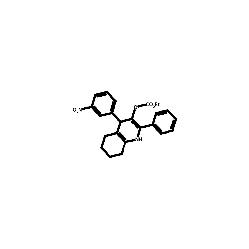 CCOC(=O)OC1=C(c2ccccc2)NC2=C(CCCC2)C1c1cccc([N+](=O)[O-])c1